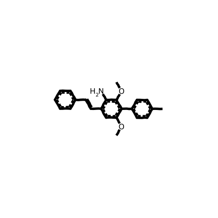 COc1cc(C=Cc2ccccc2)c(N)c(OC)c1-c1ccc(C)cc1